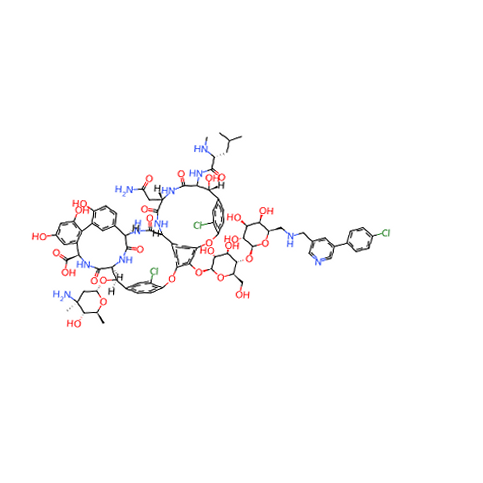 CN[C@H](CC(C)C)C(=O)NC1C(=O)N[C@@H](CC(N)=O)C(=O)N[C@H]2C(=O)N[C@H]3C(=O)N[C@H](C(=O)N[C@@H](C(=O)O)c4cc(O)cc(O)c4-c4cc3ccc4O)[C@H](O[C@H]3C[C@](C)(N)[C@@H](O)[C@H](C)O3)c3ccc(c(Cl)c3)Oc3cc2cc(c3O[C@@H]2O[C@H](CO)[C@@H](O[C@@H]3O[C@H](CNCc4cncc(-c5ccc(Cl)cc5)c4)[C@H](O)[C@H](O)[C@H]3O)[C@H](O)[C@H]2O)Oc2ccc(cc2Cl)[C@H]1O